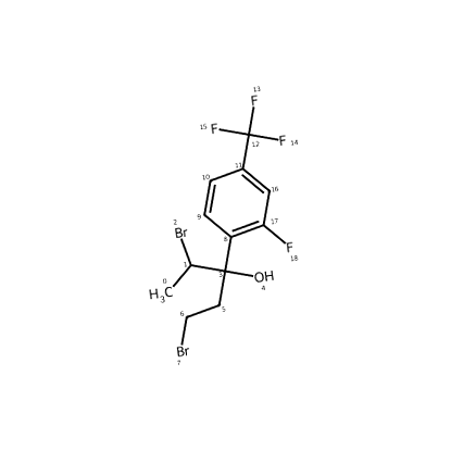 CC(Br)C(O)(CCBr)c1ccc(C(F)(F)F)cc1F